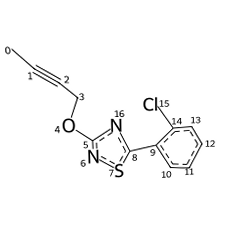 CC#CCOc1nsc(-c2ccccc2Cl)n1